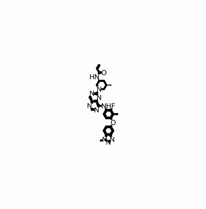 C=CC(=O)N[C@H]1C[C@@H](C)CN(c2ncc3ncnc(Nc4ccc(Oc5ccc6c(c5)nnn6C)c(C)c4F)c3n2)C1